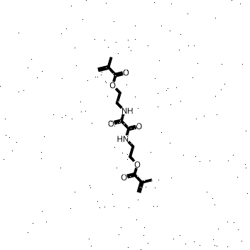 C=C(C)C(=O)OCCNC(=O)C(=O)NCCOC(=O)C(=C)C